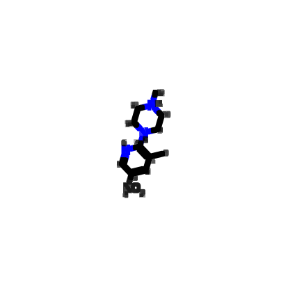 Cc1cc([N+](=O)[O-])cnc1N1CCN(C)CC1